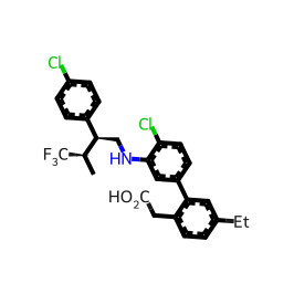 CCc1ccc(CC(=O)O)c(-c2ccc(Cl)c(NC[C@H](c3ccc(Cl)cc3)[C@@H](C)C(F)(F)F)c2)c1